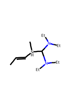 CC=C[SiH](C)C(N(CC)CC)N(CC)CC